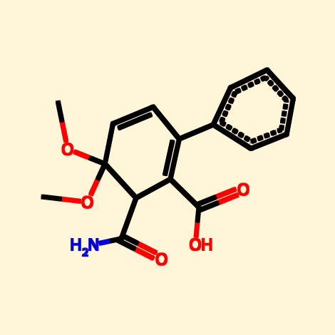 COC1(OC)C=CC(c2ccccc2)=C(C(=O)O)C1C(N)=O